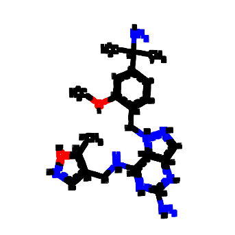 COc1cc(C(C)(C)N)ccc1Cn1ncc2nc(N)nc(NCc3cnoc3C)c21